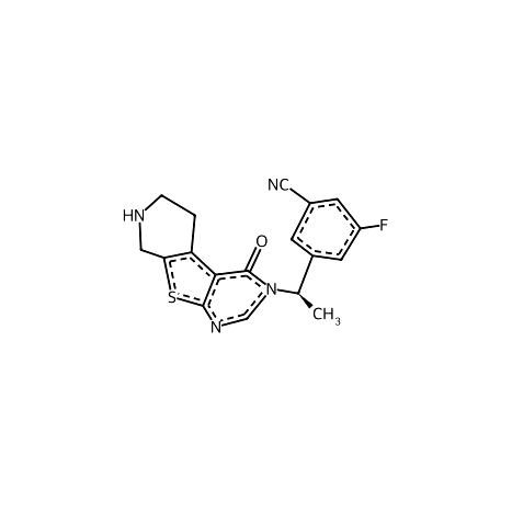 C[C@H](c1cc(F)cc(C#N)c1)n1cnc2sc3c(c2c1=O)CCNC3